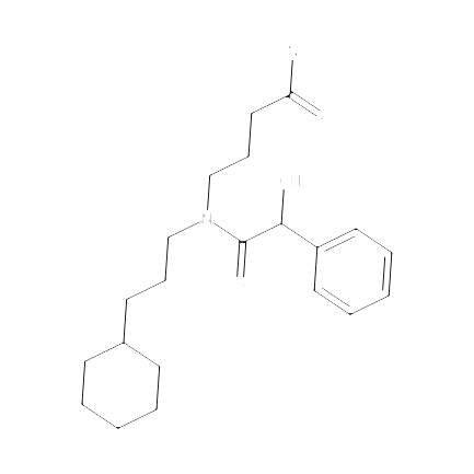 CC(C(=O)N(CCCC(N)=O)CCCC1CCCCC1)c1ccccc1